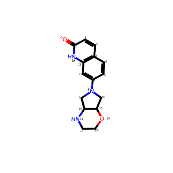 O=c1ccc2ccc(N3CC4NCCOC4C3)cc2[nH]1